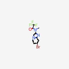 CN(C(=O)C(F)(F)F)c1cn2ccc(Br)cc2n1